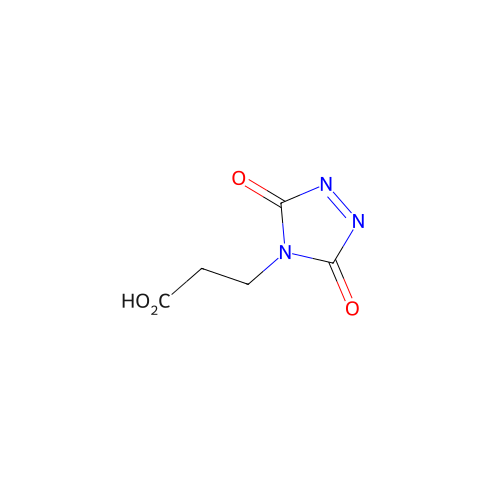 O=C(O)CCN1C(=O)N=NC1=O